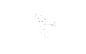 Cn1cc(C(=O)NC(Cc2ccc(O)cc2)C(=O)C(=O)C(=O)C=O)nn1